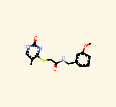 COc1cccc(CNC(=O)CSc2nc(=O)[nH]cc2C)c1